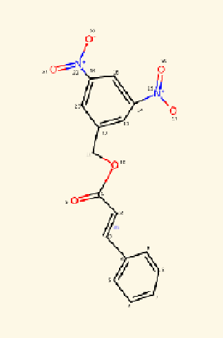 O=C(/C=C/c1ccccc1)OCc1cc([N+](=O)[O-])cc([N+](=O)[O-])c1